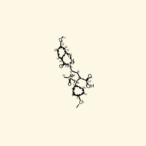 COc1ccc(N(C(CCn2nnc3cc(OC)ccc3c2=O)C(=O)O)S(C)(=O)=O)cc1